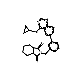 O=C1C2CCCCC2C(=O)N1Cc1cccc(-c2ccc3ncnc(NC4CC4)c3c2)c1